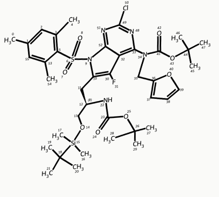 Cc1cc(C)c(S(=O)(=O)n2c(C[C@H](CO[Si](C)(C)C(C)(C)C)NC(=O)OC(C)(C)C)c(F)c3c(N(Cc4ccco4)C(=O)OC(C)(C)C)nc(Cl)nc32)c(C)c1